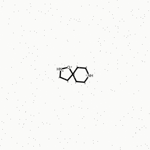 C1CC2(CCN1)CCNO2